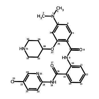 CN(C)c1ccc(C(=O)Nc2ccccc2C(=O)Nc2ccc(Cl)cn2)c(OC2CCNCC2)c1